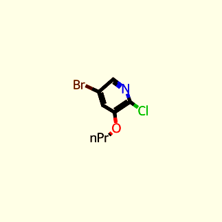 CCCOc1cc(Br)cnc1Cl